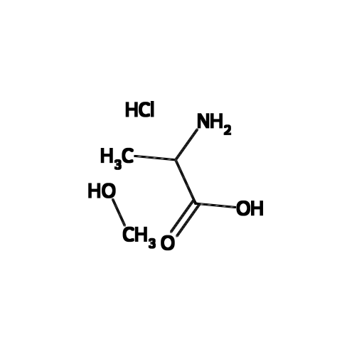 CC(N)C(=O)O.CO.Cl